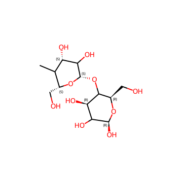 CC1[C@H](O)C(O)[C@H](OC2[C@H](O)C(O)[C@H](O)O[C@@H]2CO)O[C@@H]1CO